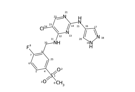 CS(=O)(=O)c1ccc(F)c(CNc2nc(Nc3cn[nH]c3)ncc2Cl)c1